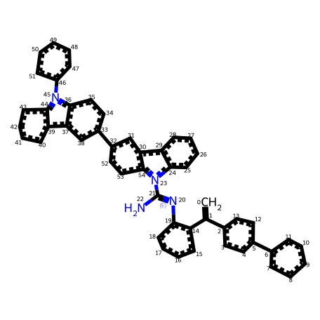 C=C(c1ccc(-c2ccccc2)cc1)c1ccccc1/N=C(\N)n1c2ccccc2c2cc(-c3ccc4c(c3)c3ccccc3n4-c3ccccc3)ccc21